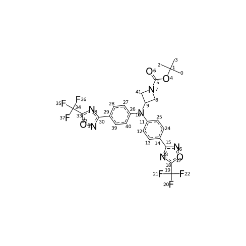 CC(C)(C)OC(=O)N1CC(N(c2ccc(-c3noc(C(F)(F)F)n3)cc2)c2ccc(-c3noc(C(F)(F)F)n3)cc2)C1